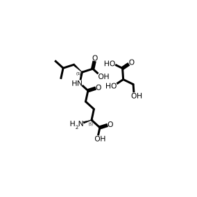 CC(C)C[C@H](NC(=O)CC[C@H](N)C(=O)O)C(=O)O.O=C(O)C(O)CO